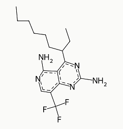 CCCCCCC(CC)c1nc(N)nc2c(C(F)(F)F)cnc(N)c12